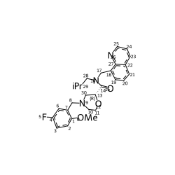 COc1ccc(F)cc1CN1CCO[C@@H](C(=O)N(Cc2cccc3cccnc23)CC(C)C)C1